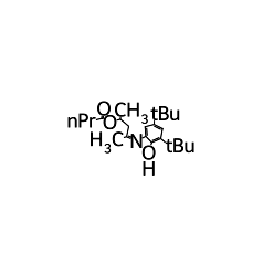 CCCC(=O)OC(C)CC(C)=Nc1cc(C(C)(C)C)cc(C(C)(C)C)c1O